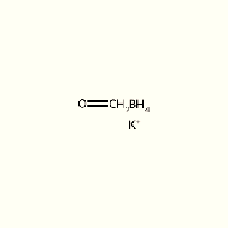 C=O.[BH4-].[K+]